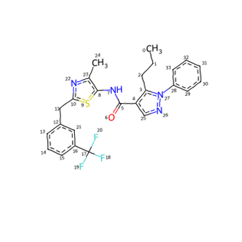 CCCc1c(C(=O)Nc2sc(Cc3cccc(C(F)(F)F)c3)nc2C)cnn1-c1ccccc1